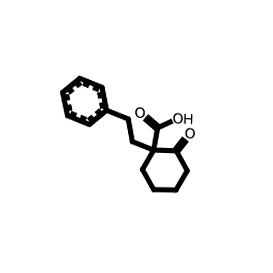 O=C(O)C1(CCc2ccccc2)CCCCC1=O